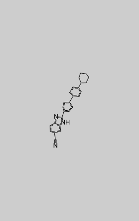 N#Cc1ccc2nc(-c3ccc(-c4ccc(C5CCCCC5)cc4)cc3)[nH]c2c1